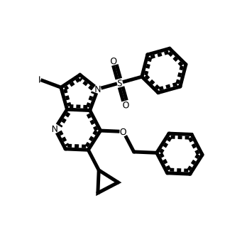 O=S(=O)(c1ccccc1)n1cc(I)c2ncc(C3CC3)c(OCc3ccccc3)c21